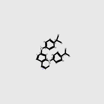 C/C=C\c1ccc(Oc2ccc(C(C)C)cc2)cc1Oc1ccc(C(C)C)cc1